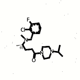 CC(C)N1CCN(C(=O)CC[C@H](C)N(C)Cc2cccc(F)c2Cl)CC1